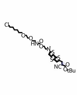 CN(CCOC(=O)NCCOCCOCCCCCCCl)c1cc2sc3cc(/C=C(\C#N)C(=O)OC(C)(C)C)sc3c2s1